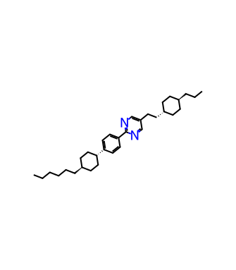 CCCCCC[C@H]1CC[C@H](c2ccc(-c3ncc(CC[C@H]4CC[C@H](CCC)CC4)cn3)cc2)CC1